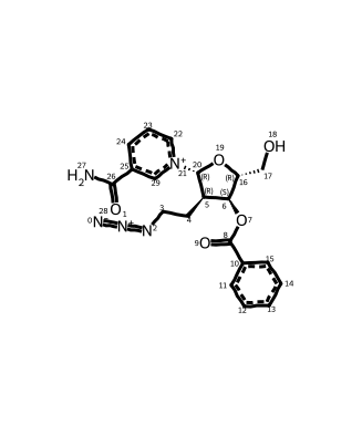 [N-]=[N+]=NCC[C@@H]1[C@H](OC(=O)c2ccccc2)[C@@H](CO)O[C@H]1[n+]1cccc(C(N)=O)c1